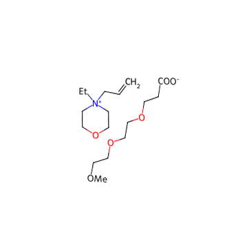 C=CC[N+]1(CC)CCOCC1.COCCOCCOCCC(=O)[O-]